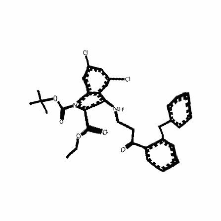 CCOC(=O)c1c(NCCC(=O)c2ccccc2Cc2ccccc2)c2c(Cl)cc(Cl)cc2n1C(=O)OC(C)(C)C